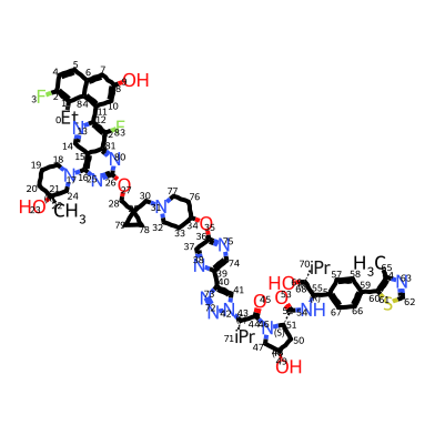 CCc1c(F)ccc2cc(O)cc(-c3ncc4c(N5CCC[C@@](C)(O)C5)nc(OCC5(CN6CCC(Oc7cnc(-c8cn([C@H](C(=O)N9C[C@H](O)C[C@H]9C(=O)N[C@H](c9ccc(-c%10scnc%10C)cc9)[C@H](O)C(C)C)C(C)C)nn8)cn7)CC6)CC5)nc4c3F)c12